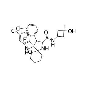 CC1(O)CC(NC(=O)C2NC3(CCCCC3)C3(C(=O)Nc4cc(Cl)ccc43)C2c2cccc(Cl)c2F)C1